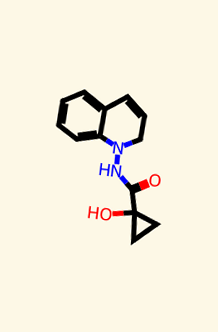 O=C(NN1CC=Cc2ccccc21)C1(O)CC1